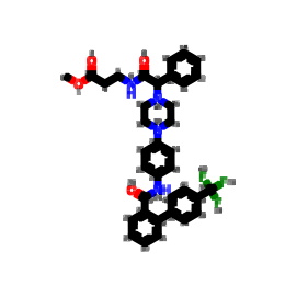 COC(=O)CCNC(=O)C(c1ccccc1)N1CCN(c2ccc(NC(=O)c3ccccc3-c3ccc(C(F)(F)F)cc3)cc2)CC1